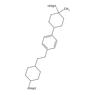 CCCCCCCC1CCC(CCc2ccc(C3CCC(C)(CCCCCCC)CC3)cc2)CC1